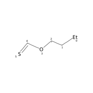 CCC[CH]OC=S